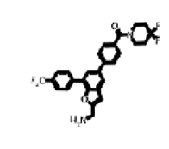 NCc1cc2cc(-c3ccc(C(=O)N4CCC(F)(F)CC4)cc3)cc(-c3ccc(C(F)(F)F)cc3)c2o1